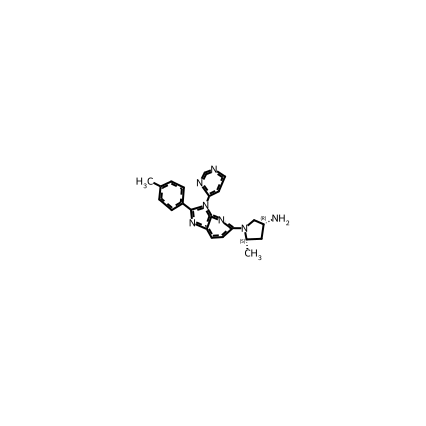 Cc1ccc(-c2nc3ccc(N4C[C@H](N)C[C@@H]4C)nc3n2-c2ccncn2)cc1